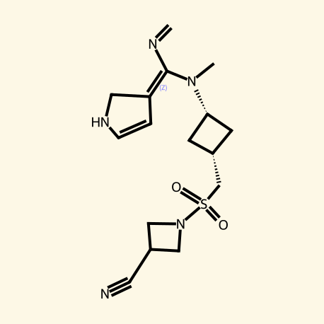 C=N/C(=C1/C=CNC1)N(C)[C@H]1C[C@@H](CS(=O)(=O)N2CC(C#N)C2)C1